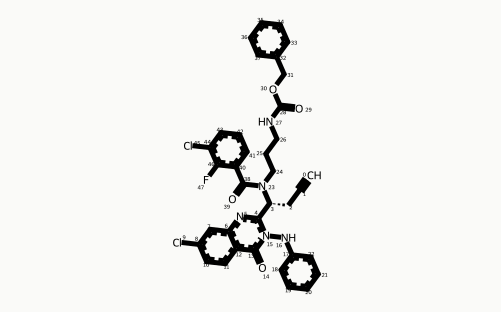 C#CC[C@H](c1nc2cc(Cl)ccc2c(=O)n1Nc1ccccc1)N(CCCNC(=O)OCc1ccccc1)C(=O)c1cccc(Cl)c1F